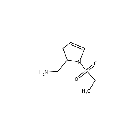 CCS(=O)(=O)N1C=CCC1CN